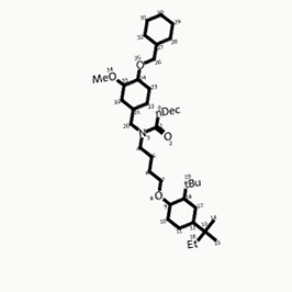 CCCCCCCCCCC(=O)N(CCCCOC1CCC(C(C)(C)CC)CC1C(C)(C)C)CC1CCC(OCC2CCCCC2)C(OC)C1